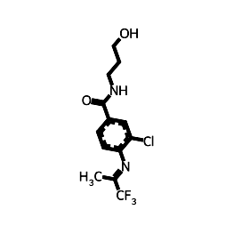 C/C(=N\c1ccc(C(=O)NCCCO)cc1Cl)C(F)(F)F